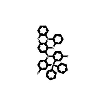 Fc1ccc2c(c1)[Si](c1ccccc1)(c1ccccc1)c1cc(F)ccc1N2c1ccc2c3c1Sc1ccccc1B3c1ccccc1S2